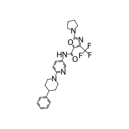 O=C(Nc1ccc(N2CCC(c3ccccc3)CC2)nc1)c1oc(N2CCCC2)nc1C(F)(F)F